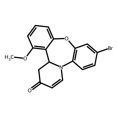 COc1cccc2c1C1CC(=O)C=CN1c1ccc(Br)cc1O2